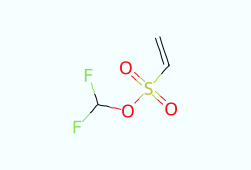 C=CS(=O)(=O)OC(F)F